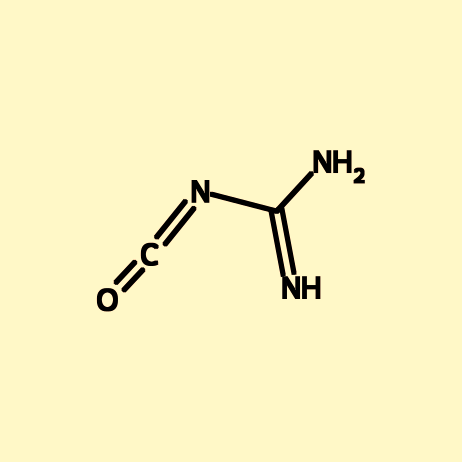 N=C(N)N=C=O